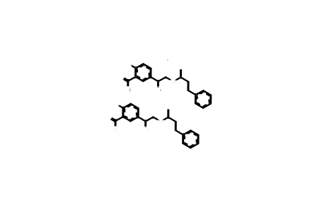 CC(CCc1ccccc1)NCC(O)c1ccc(O)c(C(N)=O)c1.CC(CCc1ccccc1)NCC(O)c1ccc(O)c(C(N)=O)c1.Cl.Cl